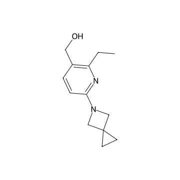 CCc1nc(N2CC3(CC3)C2)ccc1CO